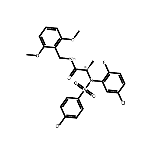 COc1cccc(OC)c1CNC(=O)[C@@H](C)N(c1cc(Cl)ccc1F)S(=O)(=O)c1ccc(Cl)cc1